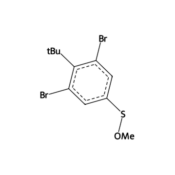 COSc1cc(Br)c(C(C)(C)C)c(Br)c1